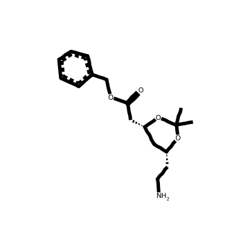 CC1(C)O[C@H](CCN)C[C@H](CC(=O)OCc2ccccc2)O1